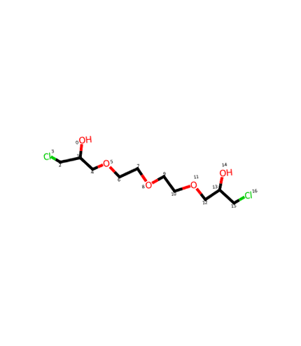 OC(CCl)COCCOCCOCC(O)CCl